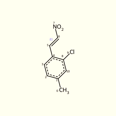 Cc1ccc(/C=C/[N+](=O)[O-])c(Cl)c1